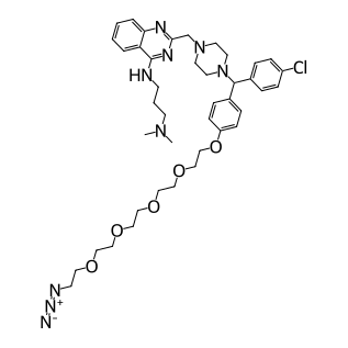 CN(C)CCCNc1nc(CN2CCN(C(c3ccc(Cl)cc3)c3ccc(OCCOCCOCCOCCOCCN=[N+]=[N-])cc3)CC2)nc2ccccc12